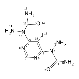 NC(=O)N(N)c1ncnc(N(N)C(N)=O)c1I